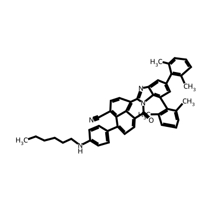 CCCCCCNc1ccc(-c2ccc3c(=O)n4c(nc5cc(-c6c(C)cccc6C)cc(-c6c(C)cccc6C)c54)c4ccc(C#N)c2c34)cc1